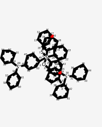 Sc1ccc(OS(Sc2ccccc2)(c2ccccc2)(c2ccccc2)(c2ccc([S+](c3ccccc3)c3ccccc3)cc2)c2ccc([S+](c3ccccc3)c3ccccc3)cc2)cc1